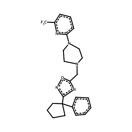 FC(F)(F)c1cccc(N2CCN(Cc3nc(C4(c5ccccc5)CCCC4)no3)CC2)n1